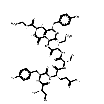 CC(C)C[C@H](NC(=O)[C@H](CCC(N)=O)NC(=O)[C@H](Cc1ccc(O)cc1)NC(=O)[C@@H](N)CC(C)C)C(=O)N[C@@H](CCC(=O)O)C(=O)N[C@@H](CC(N)=O)C(=O)N[C@@H](Cc1ccc(O)cc1)C(=O)N[C@@H](CS)C(=O)NCC(=O)O